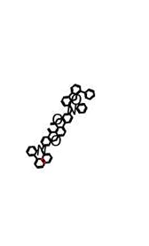 C=C1c2ccc(N(c3ccccc3)c3ccccc3-c3ccccc3)cc2Oc2ccc3c(c21)C(=C)Oc1cc(N(c2ccccc2)c2cccc4c2oc2c(-c5ccccc5)cccc24)ccc1-3